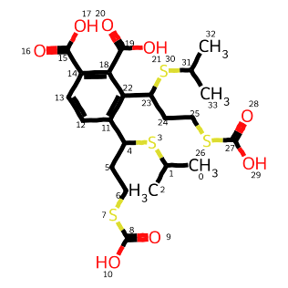 CC(C)SC(CCSC(=O)O)c1ccc(C(=O)O)c(C(=O)O)c1C(CCSC(=O)O)SC(C)C